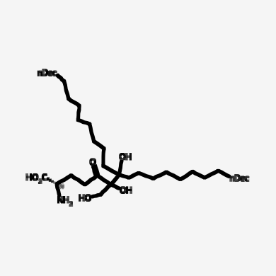 CCCCCCCCCCCCCCCCCCC(O)(CCCCCCCCCCCCCCCCCC)C(O)(CO)C(=O)CC[C@H](N)C(=O)O